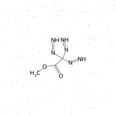 COC(=O)C(N=N)(N=N)N=N